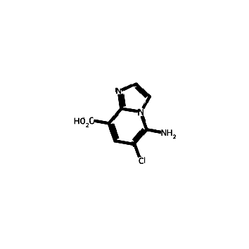 Nc1c(Cl)cc(C(=O)O)c2nccn12